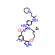 Cc1cc2cc(n1)-c1cnn(C)c1OCCC[C@@H](C1CC1)CN1/C(=N/C2=O)Nc2ccc(N[C@H](C)CCN3CCCCC3)cc21